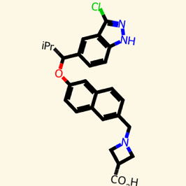 CC(C)C(Oc1ccc2cc(CN3CC(C(=O)O)C3)ccc2c1)c1ccc2[nH]nc(Cl)c2c1